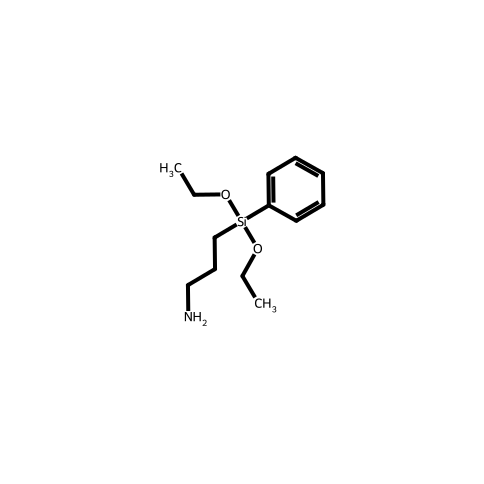 CCO[Si](CCCN)(OCC)c1ccccc1